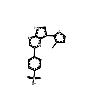 Cc1ccsc1-c1c[nH]c2ncc(-c3ccc(S(=O)(=O)C(C)C)cc3)nc12